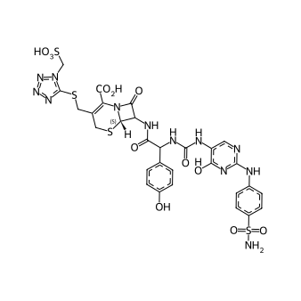 NS(=O)(=O)c1ccc(Nc2ncc(NC(=O)NC(C(=O)NC3C(=O)N4C(C(=O)O)=C(CSc5nnnn5CS(=O)(=O)O)CS[C@@H]34)c3ccc(O)cc3)c(O)n2)cc1